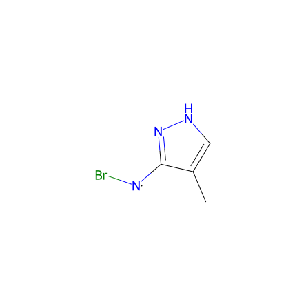 Cc1c[nH]nc1[N]Br